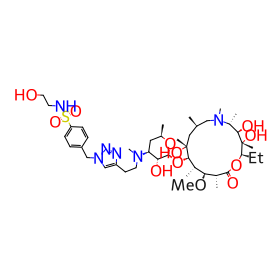 CC[C@H]1OC(=O)[C@H](C)[C@@H](OC)[C@H](C)[C@@H](O[C@@H]2O[C@H](C)C[C@H](N(C)CCc3cn(Cc4ccc(S(=O)(=O)NCCO)cc4)nn3)[C@H]2O)[C@](C)(O)C[C@@H](C)CN(C)[C@H](C)[C@@H](O)[C@]1(C)O